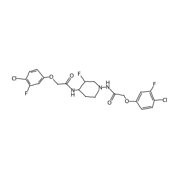 O=C(COc1ccc(Cl)c(F)c1)NC1CCN(NC(=O)COc2ccc(Cl)c(F)c2)CC1F